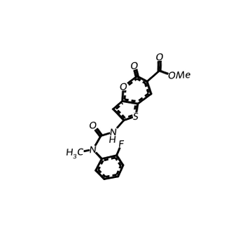 COC(=O)c1cc2sc(NC(=O)N(C)c3ccccc3F)cc2oc1=O